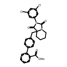 COC(=O)c1ccccc1-c1ccc(CC23CCCCN2C(=O)N(c2cc(Cl)cc(Cl)c2)C3=O)cc1